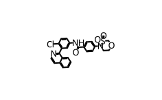 O=C(Nc1ccc(Cl)c(-c2nccc3ccccc23)c1)c1ccc(N2CCOCS2(=O)=O)cc1